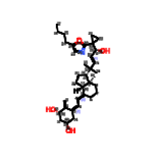 C=C1/C(=C\C=C2/CCC[C@]3(C)[C@@H](C(C)(C)/C=C/[C@H](O)C4(c5ncc(CCCC)o5)CC4)CC[C@@H]23)C[C@@H](O)C[C@@H]1O